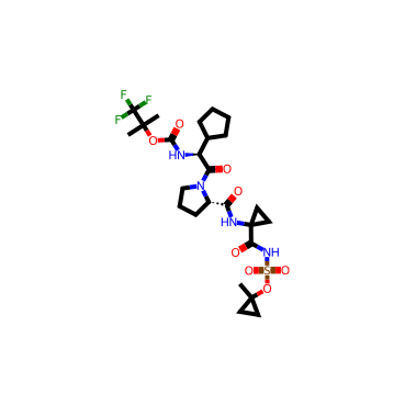 CC1(OS(=O)(=O)NC(=O)C2(NC(=O)[C@@H]3CCCN3C(=O)[C@@H](NC(=O)OC(C)(C)C(F)(F)F)C3CCCC3)CC2)CC1